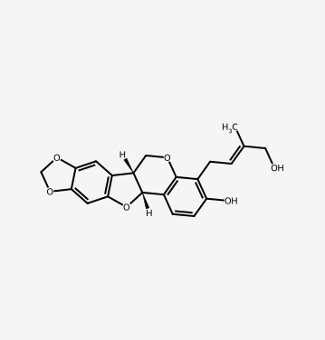 C/C(=C\Cc1c(O)ccc2c1OC[C@H]1c3cc4c(cc3O[C@@H]21)OCO4)CO